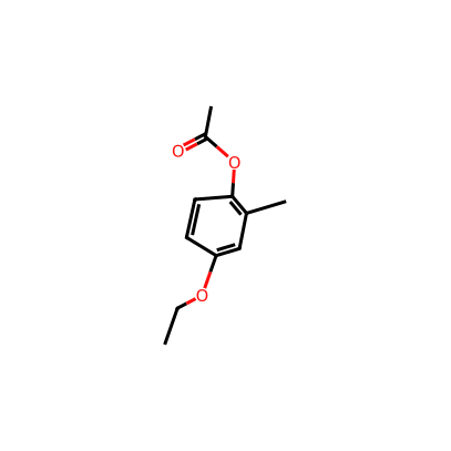 CCOc1ccc(OC(C)=O)c(C)c1